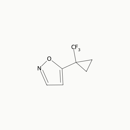 FC(F)(F)C1(c2ccno2)CC1